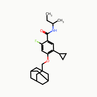 CCC(C)NC(=O)c1cc(C2CC2)c(OCC23CC4CC(CC(C4)C2)C3)cc1F